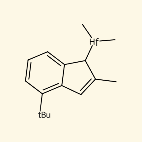 CC1=Cc2c(cccc2C(C)(C)C)[CH]1[Hf]([CH3])[CH3]